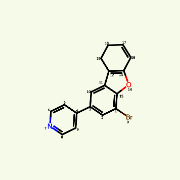 Brc1cc(-c2ccncc2)cc2c3c(oc12)C=CCC3